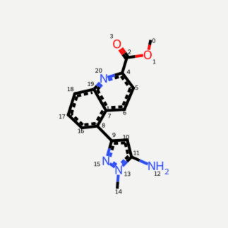 COC(=O)c1ccc2c(-c3cc(N)n(C)n3)cccc2n1